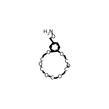 NOCc1ccc2c(c1)OCCOCCOCCOCCOCCO2